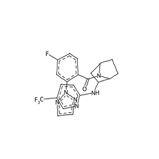 O=C(c1ccc(F)cc1-n1nccn1)N1C2CCC1C(Nc1ccc(C(F)(F)F)cn1)C2